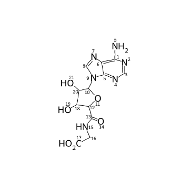 Nc1ncnc2c1ncn2C1OC(C(=O)NCC(=O)O)C(O)C1O